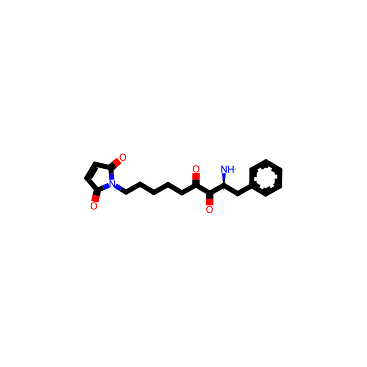 [NH][C@@H](Cc1ccccc1)C(=O)C(=O)CCCCCN1C(=O)C=CC1=O